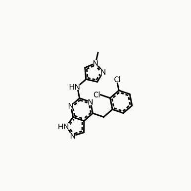 Cn1cc(Nc2nc(Cc3cccc(Cl)c3Cl)c3cn[nH]c3n2)cn1